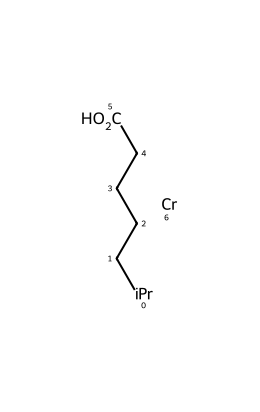 CC(C)CCCCC(=O)O.[Cr]